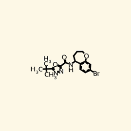 CC(C)(C)c1nnc(C(=O)NC2CCCOc3cc(Br)ccc32)o1